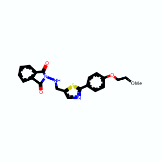 COCCOc1ccc(-c2ncc(CNN3C(=O)c4ccccc4C3=O)s2)cc1